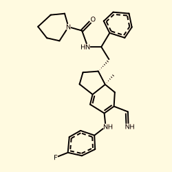 C[C@]12CC(C=N)=C(Nc3ccc(F)cc3)C=C1CC[C@@H]2CC(NC(=O)N1CCCCC1)c1ccccc1